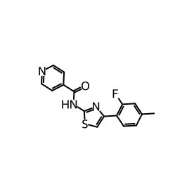 Cc1ccc(-c2csc(NC(=O)c3ccncc3)n2)c(F)c1